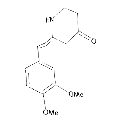 COc1ccc(C=C2CC(=O)CCN2)cc1OC